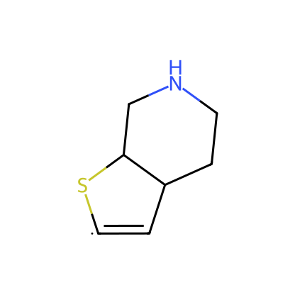 [C]1=CC2CCNCC2S1